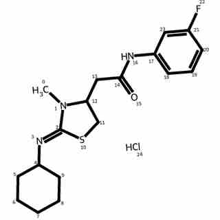 CN1C(=NC2CCCCC2)SCC1CC(=O)Nc1cccc(F)c1.Cl